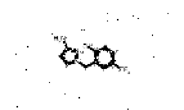 Nc1ccn(Cc2cc(C(F)(F)F)ccc2Cl)n1